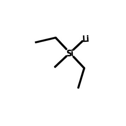 [Li][Si](C)(CC)CC